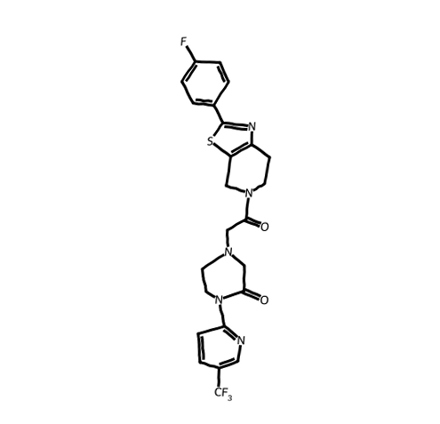 O=C(CN1CCN(c2ccc(C(F)(F)F)cn2)C(=O)C1)N1CCc2nc(-c3ccc(F)cc3)sc2C1